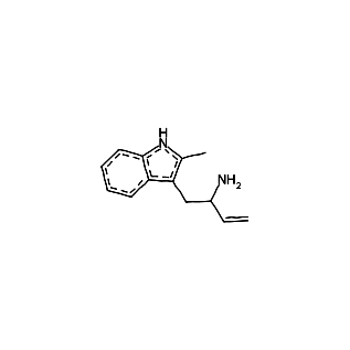 C=CC(N)Cc1c(C)[nH]c2ccccc12